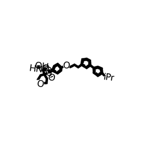 CC(C)c1ccc(-c2cccc(CCCOc3ccc(S(=O)(=O)C4(C(=O)NO)CCOCC4)cc3)c2)cc1